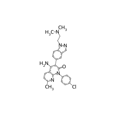 Cc1ccc2c(N)c(-c3ccc4c(cnn4CCN(C)C)c3)c(=O)n(-c3ccc(Cl)cc3)c2n1